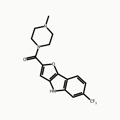 CN1CCN(C(=O)c2cc3[nH]c4cc(C(F)(F)F)ccc4c3o2)CC1